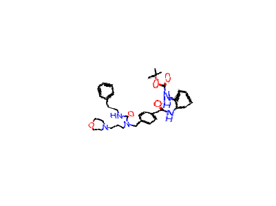 CC(C)(C)OC(=O)Nc1ccccc1NC(=O)c1ccc(CN(CCCN2CCOCC2)C(=O)NCCc2ccccc2)cc1